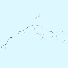 CCO[Si](CCCOCC1CO1)(COC[Si](OC)(OC)OC)OCC